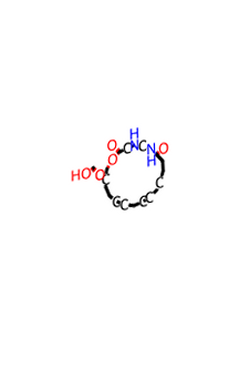 O=C1CCCCCCCCCCCCCOC(=O)CNCN1.O=CO